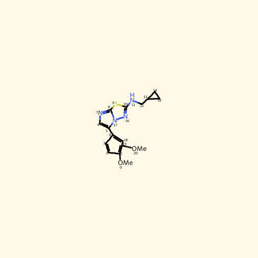 COc1ccc(-c2cnc3sc(NCC4CC4)nn23)cc1OC